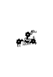 CCc1cccc(CNC[C@@H](O)[C@H](Cc2cc(F)cc(F)c2)NC(=O)c2cccc(OC(C)(C)C)c2)c1